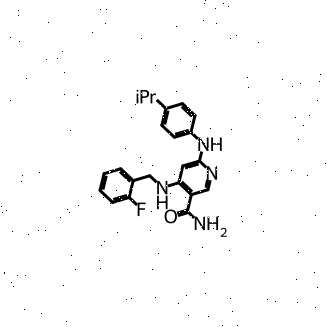 CC(C)c1ccc(Nc2cc(NCc3ccccc3F)c(C(N)=O)cn2)cc1